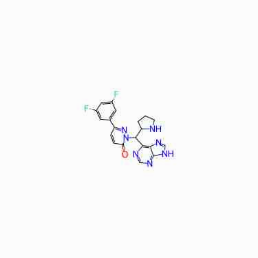 O=c1ccc(-c2cc(F)cc(F)c2)nn1C(c1ncnc2[nH]cnc12)C1CCCN1